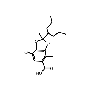 CCCC(CCC)C1(C)Oc2c(Cl)cc(C(=O)O)c(C)c2O1